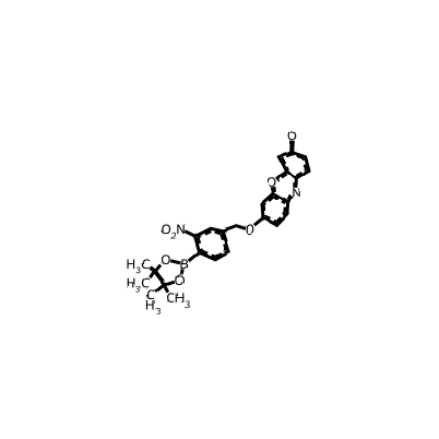 CC1(C)OB(c2ccc(COc3ccc4nc5ccc(=O)cc-5oc4c3)cc2[N+](=O)[O-])OC1(C)C